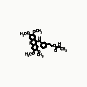 CNC(=O)OCCc1cccc(Nc2c3cc(OC)c(OC)cc3nc3cc(OC)c(OC)cc23)c1